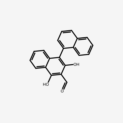 O=Cc1c(O)c(-c2cccc3ccccc23)c2ccccc2c1O